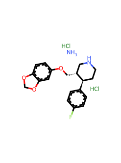 Cl.Cl.Fc1ccc([C@@H]2CCNC[C@H]2COc2ccc3c(c2)OCO3)cc1.N